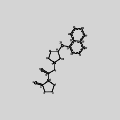 O=C1CCCN1C(=O)CN1CCC(Oc2ccnc3ccccc23)C1